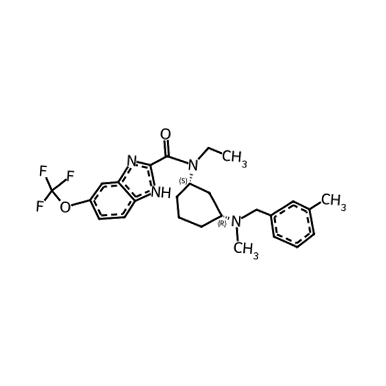 CCN(C(=O)c1nc2cc(OC(F)(F)F)ccc2[nH]1)[C@H]1CCC[C@@H](N(C)Cc2cccc(C)c2)C1